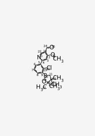 COc1cc(-c2cccc(B3CC(C)(C)C(C)(C)O3)c2Cl)ncc1C=O